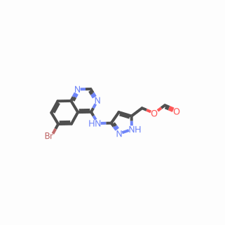 O=COCc1cc(Nc2ncnc3ccc(Br)cc23)n[nH]1